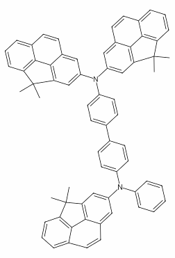 CC1(C)c2cccc3ccc4cc(N(c5ccccc5)c5ccc(-c6ccc(N(c7cc8c9c(ccc%10cccc(c%109)C8(C)C)c7)c7cc8c9c(ccc%10cccc(c%109)C8(C)C)c7)cc6)cc5)cc1c4c23